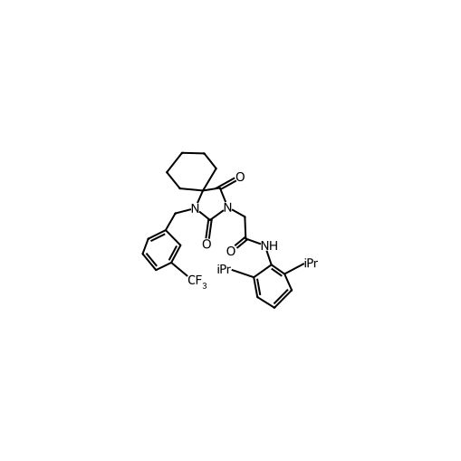 CC(C)c1cccc(C(C)C)c1NC(=O)CN1C(=O)N(Cc2cccc(C(F)(F)F)c2)C2(CCCCC2)C1=O